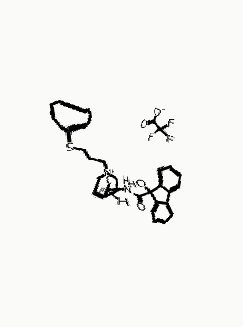 O=C(N[C@H]1C[N+]2(CCCSc3ccccc3)CCC1CC2)C1(O)c2ccccc2-c2ccccc21.O=C([O-])C(F)(F)F